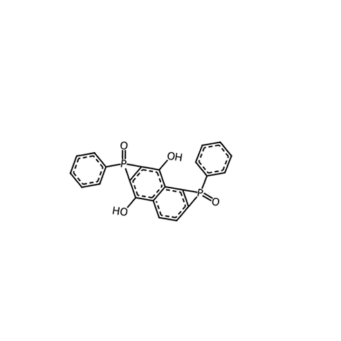 O=P1(c2ccccc2)c2c1c(O)c1c3c(ccc1c2O)P3(=O)c1ccccc1